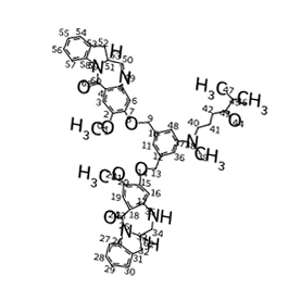 COc1cc2c(cc1OCc1cc(COc3cc4c(cc3OC)C(=O)N3c5ccccc5C[C@H]3CN4)cc(N(C)CCCC(=O)C(C)C)c1)N=C[C@@H]1Cc3ccccc3N1C2=O